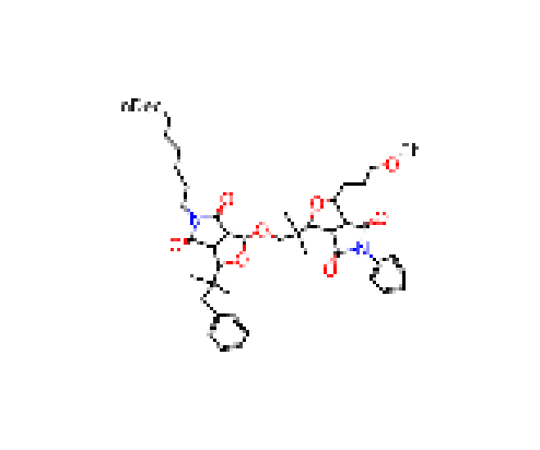 CCCCCCCCCCCCCCCCN1C(=O)C2C(OCC(C)(C)C3OC(CCCOCC)C4C(=O)N(c5ccccc5)C(=O)C43)OC(C(C)(C)Cc3ccccc3)C2C1=O